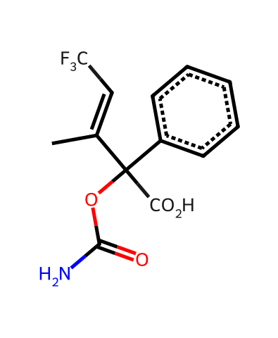 CC(=CC(F)(F)F)C(OC(N)=O)(C(=O)O)c1ccccc1